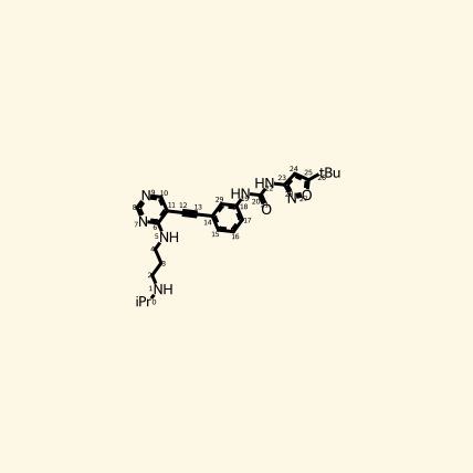 CC(C)NCCCNc1ncncc1C#Cc1cccc(NC(=O)Nc2cc(C(C)(C)C)on2)c1